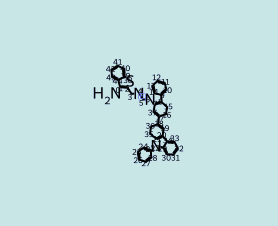 Nc1c(C/N=C/n2c3c(c4ccccc42)CCC(C2=Cc4c(n(-c5ccccc5)c5ccccc45)CC2)=C3)sc2ccccc12